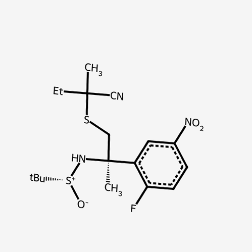 CCC(C)(C#N)SC[C@](C)(N[S@+]([O-])C(C)(C)C)c1cc([N+](=O)[O-])ccc1F